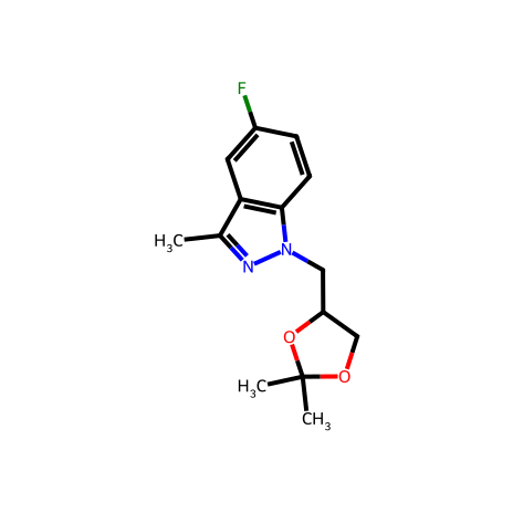 Cc1nn(CC2COC(C)(C)O2)c2ccc(F)cc12